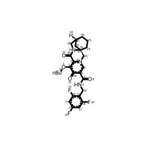 CCCCOc1c2n(cc(C(=O)NCc3c(F)cc(F)cc3F)c1=O)C[C@@]13CCC[C@@H](CN1C2=O)C3